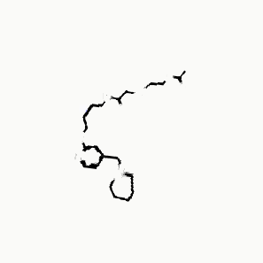 CC(=O)OCCSCC(=O)NC/C=C\COc1cc(CN2CCCCC2)ccn1